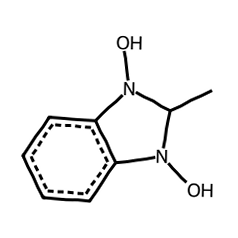 CC1N(O)c2ccccc2N1O